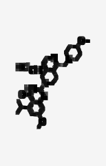 COc1cc(C(C)C)c2c(=O)[nH]c(N3CCc4c(ccnc4CN4CCC(OC)CC4)C3)nc2c1.Cl.Cl